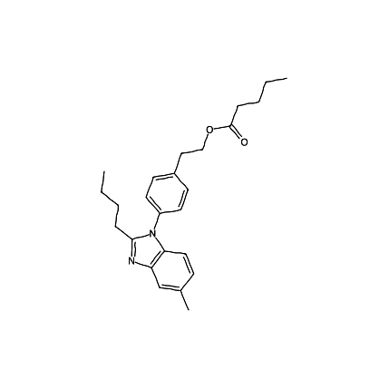 CCCCC(=O)OCCc1ccc(-n2c(CCCC)nc3cc(C)ccc32)cc1